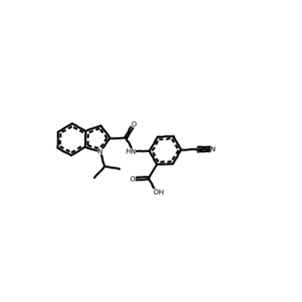 CC(C)n1c(C(=O)Nc2ccc(C#N)cc2C(=O)O)cc2ccccc21